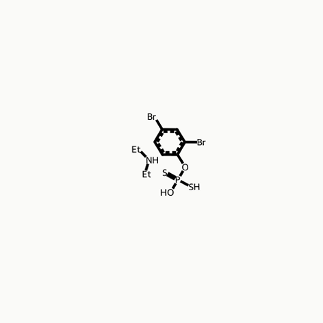 CCNCC.OP(=S)(S)Oc1ccc(Br)cc1Br